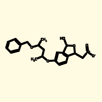 CC(CC(C)Oc1ccc2c(c1)B(O)OC2C[N+](=O)[O-])OCc1ccccc1